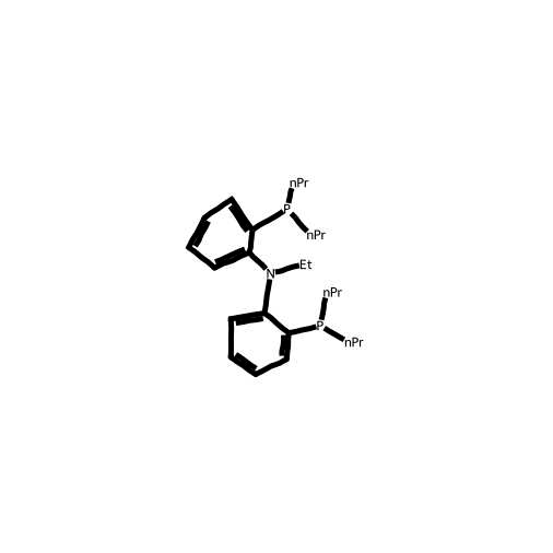 CCCP(CCC)c1ccccc1N(CC)c1ccccc1P(CCC)CCC